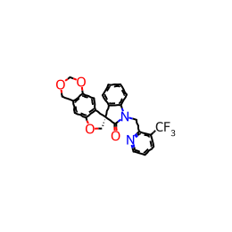 O=C1N(Cc2ncccc2C(F)(F)F)c2ccccc2[C@@]12COc1cc3c(cc12)OCOC3